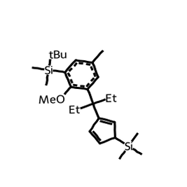 CCC(CC)(C1=CC([Si](C)(C)C)C=C1)c1cc(C)cc([Si](C)(C)C(C)(C)C)c1OC